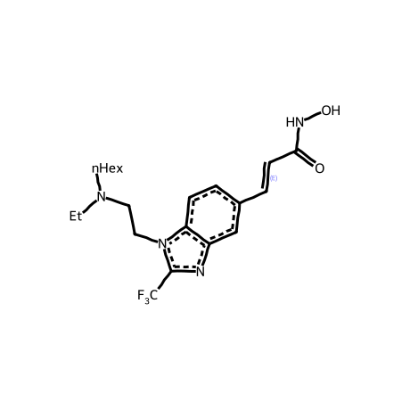 CCCCCCN(CC)CCn1c(C(F)(F)F)nc2cc(/C=C/C(=O)NO)ccc21